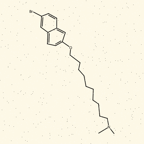 CN(C)CCCCCCCCCCOc1ccc2cc(Br)ccc2c1